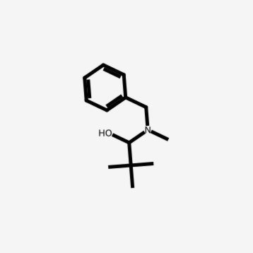 CN(Cc1ccccc1)C(O)C(C)(C)C